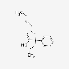 CCCCCCC(CCC)(C(=O)O)c1ccccc1